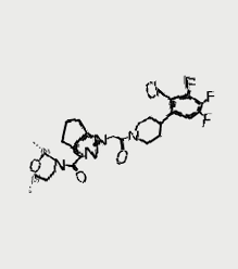 C[C@@H]1CN(C(=O)c2nn(CC(=O)N3CCC(c4cc(F)c(F)c(F)c4Cl)CC3)c3c2CCC3)C[C@H](C)O1